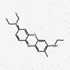 CCNc1cc2oc3cc(=[N+](CC)CC)ccc-3nc2cc1C